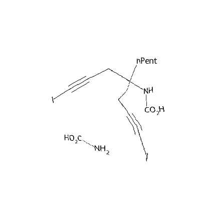 CCCCCC(CC#CI)(CC#CI)NC(=O)O.NC(=O)O